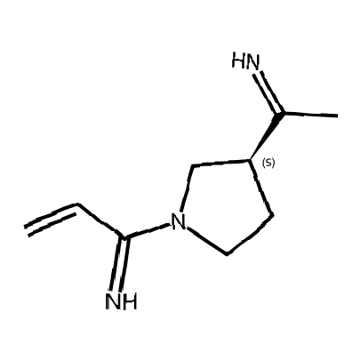 C=CC(=N)N1CC[C@H](C(C)=N)C1